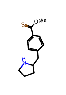 COC(=S)c1ccc(CC2CCCN2)cc1